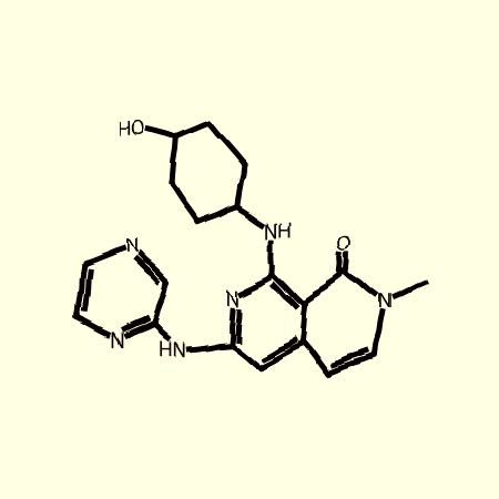 Cn1ccc2cc(Nc3cnccn3)nc(NC3CCC(O)CC3)c2c1=O